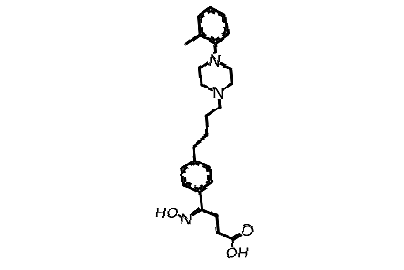 Cc1ccccc1N1CCN(CCCCc2ccc(/C(CCC(=O)O)=N\O)cc2)CC1